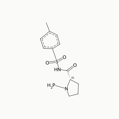 Cc1ccc(S(=O)(=O)NC(=O)[C@@H]2CCCN2P)cc1